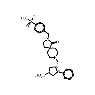 CCOC(=O)N1C[C@H](CN2CCC3(CC2)CCN(Cc2ccc(S(C)(=O)=O)cc2)C3=O)[C@@H](c2ccccc2)C1